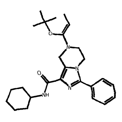 CC=C(OC(C)(C)C)N1CCn2c(-c3ccccc3)nc(C(=O)NC3CCCCC3)c2C1